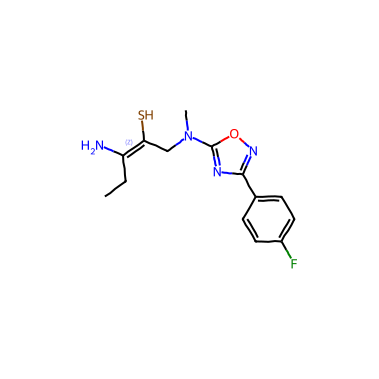 CC/C(N)=C(/S)CN(C)c1nc(-c2ccc(F)cc2)no1